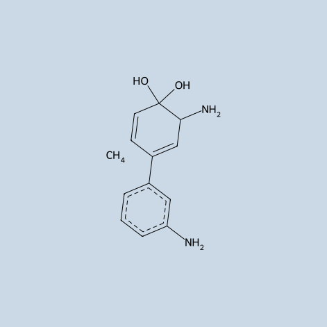 C.Nc1cccc(C2=CC(N)C(O)(O)C=C2)c1